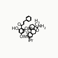 CC(C)c1ccc2c(c1)CCC1C(C)(C(N)=O)CCCC21C.COc1cc(O)c(C(=O)C=Cc2ccccc2)c(OC)c1